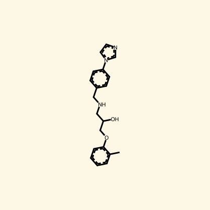 Cc1ccccc1OCC(O)CNCc1ccc(-n2ccnc2)cc1